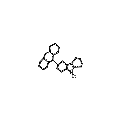 CCn1c2ccccc2c2cc(-c3c4ccccc4cc4ccccc34)ccc21